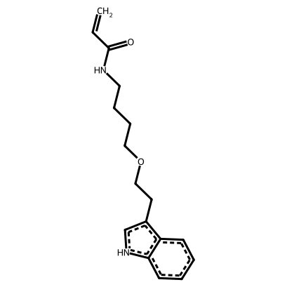 C=CC(=O)NCCCCOCCc1c[nH]c2ccccc12